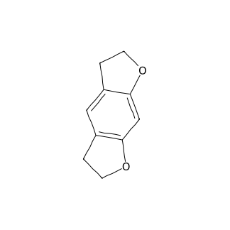 c1c2c(cc3c1CCO3)OCC2